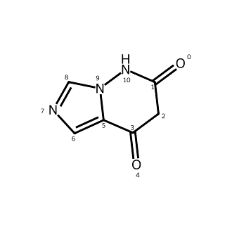 O=C1CC(=O)c2cncn2N1